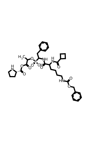 CC(OP(=O)(O)C(Cc1ccccc1)NC(=O)C(CCCCNC(=O)OCc1ccccc1)NC(=O)C1CCC1)C(=O)OC(=O)[C@@H]1CCCN1